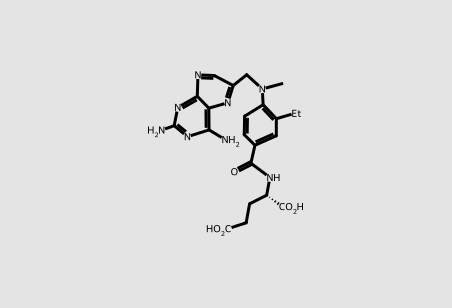 CCc1cc(C(=O)N[C@@H](CCC(=O)O)C(=O)O)ccc1N(C)Cc1cnc2nc(N)nc(N)c2n1